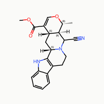 COC(=O)C1=CO[C@H](C)[C@H]2C(C#N)N3CCc4c([nH]c5ccccc45)[C@@H]3C[C@H]12